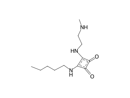 CCCCCNc1c(NCCNC)c(=O)c1=O